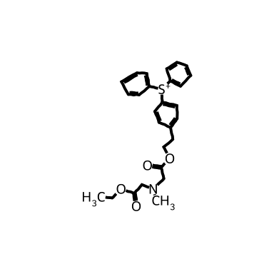 CCOC(=O)CN(C)CC(=O)OCCc1ccc([S+](c2ccccc2)c2ccccc2)cc1